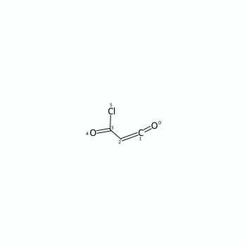 O=C=CC(=O)Cl